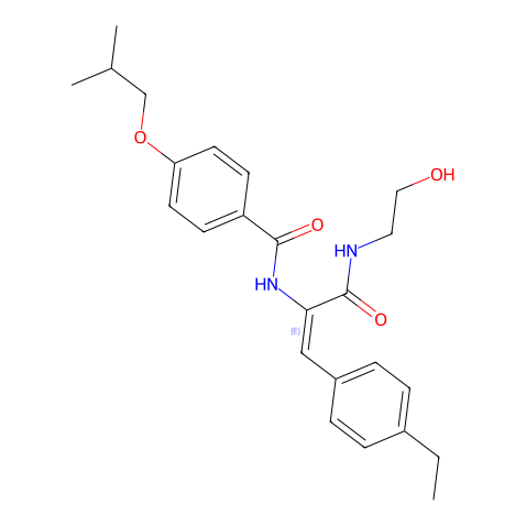 CCc1ccc(/C=C(/NC(=O)c2ccc(OCC(C)C)cc2)C(=O)NCCO)cc1